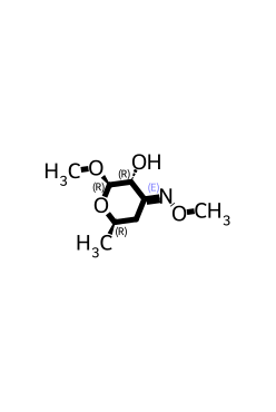 CO/N=C1\C[C@@H](C)O[C@@H](OC)[C@@H]1O